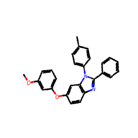 COc1cccc(Oc2ccc3nc(-c4ccccc4)n(-c4ccc(C)cc4)c3c2)c1